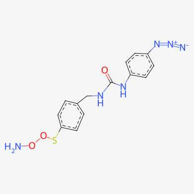 [N-]=[N+]=Nc1ccc(NC(=O)NCc2ccc(SOON)cc2)cc1